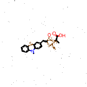 CC(C(=O)O)[SH]1S(=S)S/C(=C\c2ccc3c(c2)Sc2ccccc2N3C)[S+]1[O-]